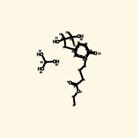 CCOC(=O)CCCn1cc(CC(C)(O)C(C)(C)O)ccc1=O.OB(O)O